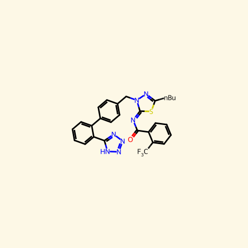 CCCCc1nn(Cc2ccc(-c3ccccc3-c3nnn[nH]3)cc2)c(=NC(=O)c2ccccc2C(F)(F)F)s1